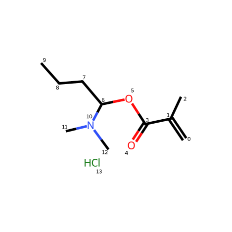 C=C(C)C(=O)OC(CCC)N(C)C.Cl